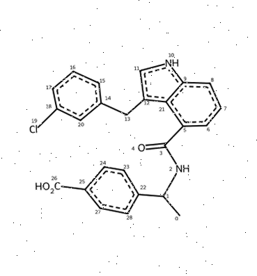 CC(NC(=O)c1cccc2[nH]cc(Cc3cccc(Cl)c3)c12)c1ccc(C(=O)O)cc1